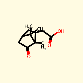 CC1(C)C2CC(=O)C1(C)C(CC(=O)O)C2